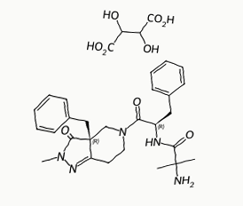 CN1N=C2CCN(C(=O)[C@@H](Cc3ccccc3)NC(=O)C(C)(C)N)C[C@@]2(Cc2ccccc2)C1=O.O=C(O)C(O)C(O)C(=O)O